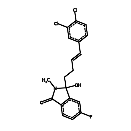 CN1C(=O)c2ccc(F)cc2C1(O)CCC=Cc1ccc(Cl)c(Cl)c1